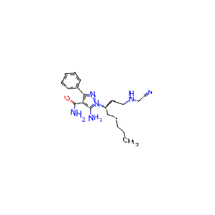 CCCCCC(CCNCC#N)n1nc(-c2ccccc2)c(C(N)=O)c1N